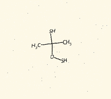 CC(C)(S)OS